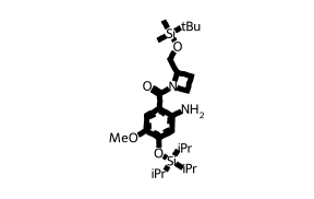 COc1cc(C(=O)N2CCC2CO[Si](C)(C)C(C)(C)C)c(N)cc1O[Si](C(C)C)(C(C)C)C(C)C